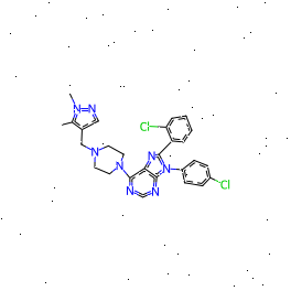 Cc1c(CN2CCN(c3ncnc4c3nc(-c3ccccc3Cl)n4-c3ccc(Cl)cc3)CC2)cnn1C